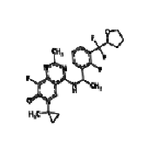 Cc1nc(NC(C)c2cccc(C(F)(F)C3CCCO3)c2F)c2cn(C3(C)CC3)c(=O)c(F)c2n1